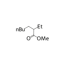 CCCCCC(CC)C(=O)OC